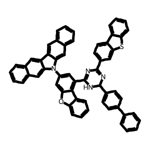 c1ccc(-c2ccc(C3N=C(c4ccc5c(c4)sc4ccccc45)N=C(c4cc(-n5c6cc7ccccc7cc6c6cc7ccccc7cc65)cc5oc6ccccc6c45)N3)cc2)cc1